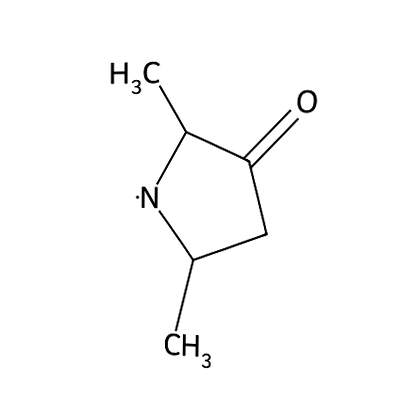 CC1CC(=O)C(C)[N]1